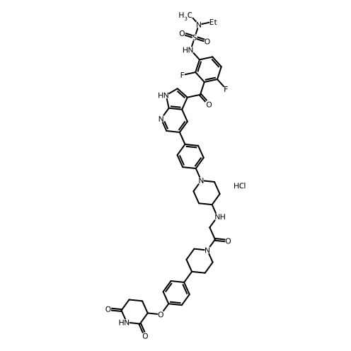 CCN(C)S(=O)(=O)Nc1ccc(F)c(C(=O)c2c[nH]c3ncc(-c4ccc(N5CCC(NCC(=O)N6CCC(c7ccc(OC8CCC(=O)NC8=O)cc7)CC6)CC5)cc4)cc23)c1F.Cl